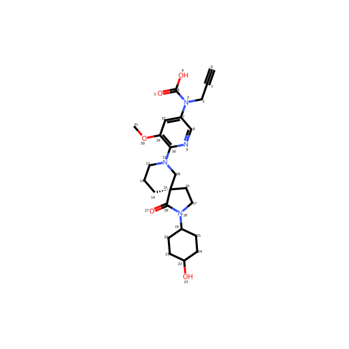 C#CCN(C(=O)O)c1cnc(N2CCC[C@@]3(CCN(C4CCC(O)CC4)C3=O)C2)c(OC)c1